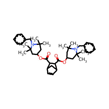 CC1(C)CC(OC(=O)C2C3C=CC(C3)C2C(=O)OC2CC(C)(C)N(Cc3ccccc3)C(C)(C)C2)CC(C)(C)N1Cc1ccccc1